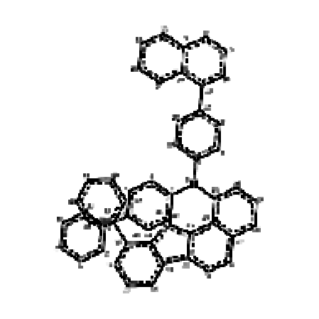 c1ccc(-c2ccc(N(c3ccc(-c4cccc5ccccc45)cc3)c3cccc4ccc5c6cccc(-c7ccccc7)c6oc5c34)cc2)cc1